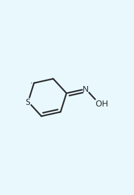 ON=C1C=CS[CH]C1